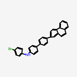 Brc1ccc(Nc2ccc(-c3ccc(-c4ccc5c(ccc6ccccc65)c4)cc3)cc2)cc1